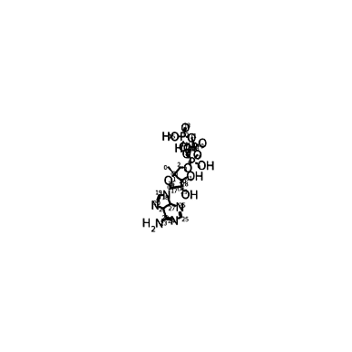 C[C@]1(COP(=O)(O)OP(=O)(O)OP(=O)(O)O)O[C@@H](N2C=NC3C(N)=NC=NC32)[C@@H](O)C1O